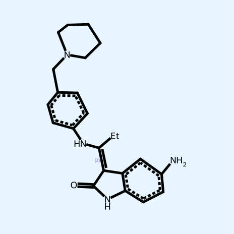 CC/C(Nc1ccc(CN2CCCCC2)cc1)=C1/C(=O)Nc2ccc(N)cc21